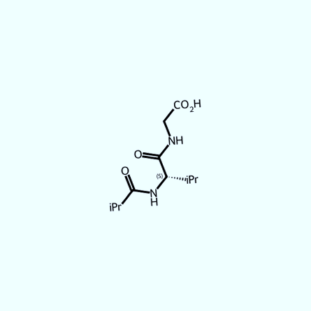 CC(C)C(=O)N[C@H](C(=O)NCC(=O)O)C(C)C